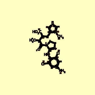 CC(C(=O)N1CCN=C1Nc1c(Cl)cc(N)cc1Cl)C(Cc1cncn1C)C(=O)O